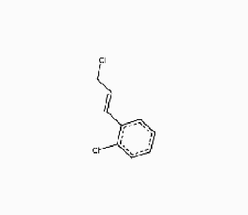 ClCC=Cc1ccccc1Cl